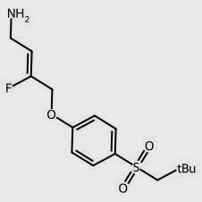 CC(C)(C)CS(=O)(=O)c1ccc(OCC(F)=CCN)cc1